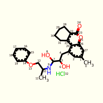 Cc1cc(CC(O)C(O)NC(C)COc2ccccc2)c2c3c(c(=O)oc2c1)CCCC3.Cl